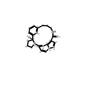 O=C1NCCCc2cccc(n2)[C@H]2CCCN2c2ccn3ncc1c3n2